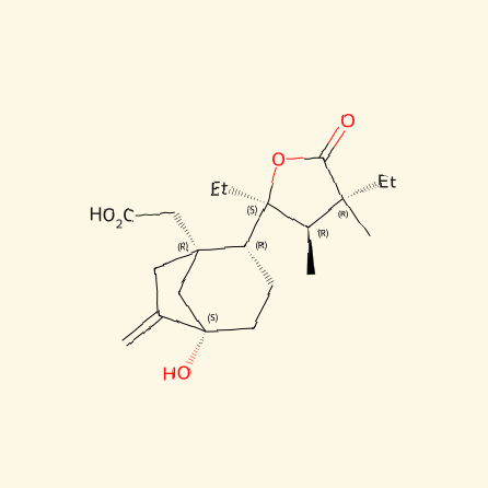 C=C1C[C@]2(CC(=O)O)C[C@@]1(O)CC[C@H]2[C@@]1(CC)OC(=O)[C@](C)(CC)[C@H]1C